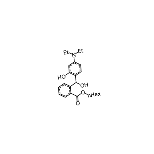 CCCCCCOC(=O)c1ccccc1C(O)c1ccc(N(CC)CC)cc1O